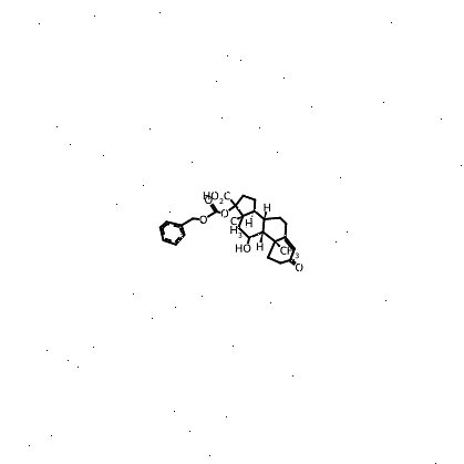 C[C@]12CCC(=O)C=C1CC[C@@H]1[C@H]2C(O)C[C@@]2(C)[C@H]1CCC2(OC(=O)OCc1ccccc1)C(=O)O